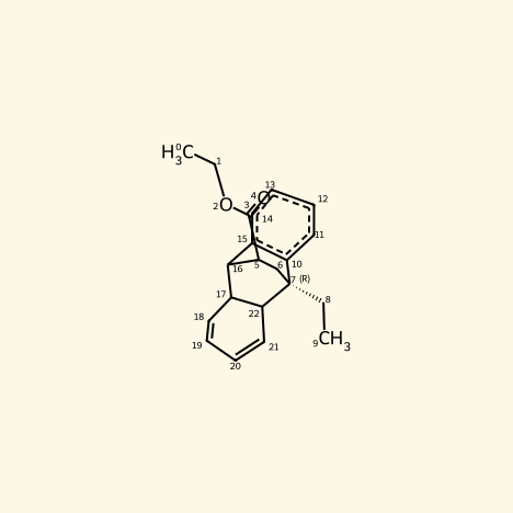 CCOC(=O)C1C[C@@]2(CC)c3ccccc3C1C1C=CC=CC12